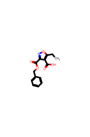 CCc1onc(C(=O)OCc2ccccc2)c1C(=O)O